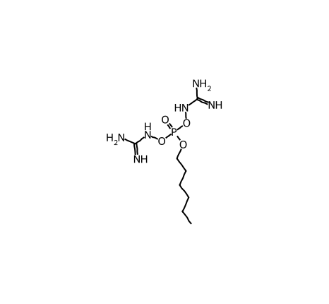 CCCCCCOP(=O)(ONC(=N)N)ONC(=N)N